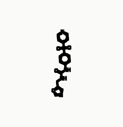 O=C(NCc1cnco1)Nc1ccc(S(=O)(=O)c2ccncc2)cc1